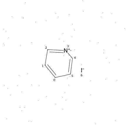 C1=CC=[N+]C=C1.[I-]